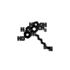 C=CC12CCc3cc(O)ccc3[C@H]1[C@@H](CCCCCCSC#N)C[C@]1(C)[C@@H](O)CC[C@@H]21